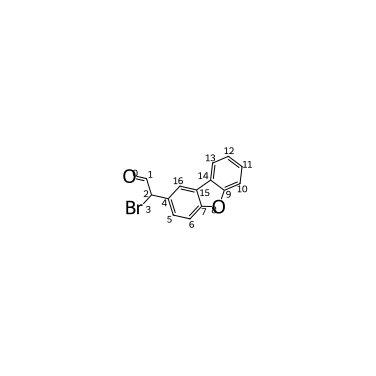 O=CC(Br)c1ccc2oc3ccccc3c2c1